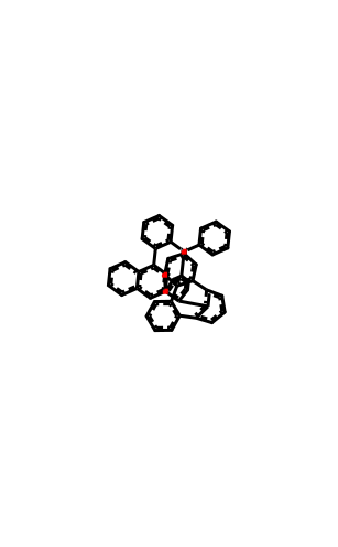 c1ccc(N(c2ccc3c(c2)-c2cccc4c2-c2ccccc2-c2cccc-4c2-3)c2ccccc2-c2cccc3ccccc23)cc1